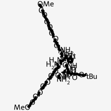 CCc1ccc(NC(=O)[C@H](CCCNC(N)=O)NC(=O)[C@@H](NC(=O)CCOCCC(C)(C)C)C(C)C)cc1C(=O)N(C/C(N)=C/N(N)CCOCCOCCOCCOCCOCCOCCOCCOC)C/C(N)=C/N(N)CCOCCOCCOCCOCCOCCOCCOCCOC